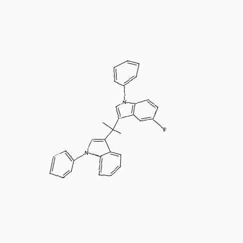 CC(C)(c1cn(-c2ccccc2)c2ccccc12)c1cn(-c2ccccc2)c2ccc(F)cc12